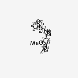 COc1cc(-c2cn(CC(=O)N3CCOc4ccccc43)nn2)ccc1-n1cnc(C)c1